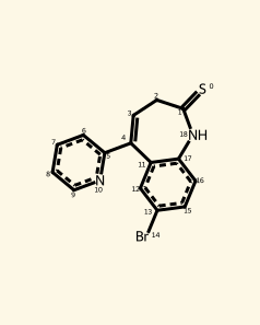 S=C1CC=C(c2ccccn2)c2cc(Br)ccc2N1